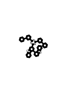 c1ccc(-c2cccc(-c3nc(-c4cccc(-c5ccccc5)c4)nc(-c4cc(-c5cccc6sc7ccccc7c56)c5c(c4)oc4ccccc45)n3)c2)cc1